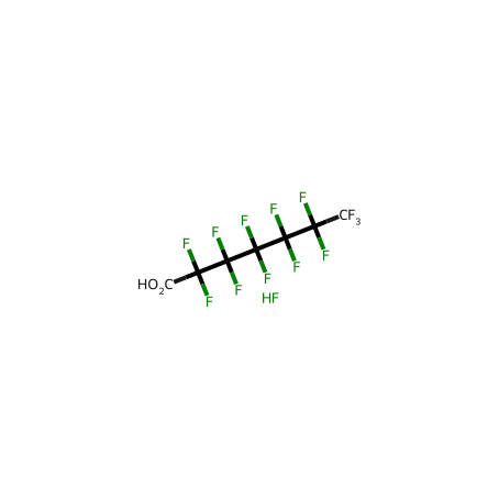 F.O=C(O)C(F)(F)C(F)(F)C(F)(F)C(F)(F)C(F)(F)C(F)(F)F